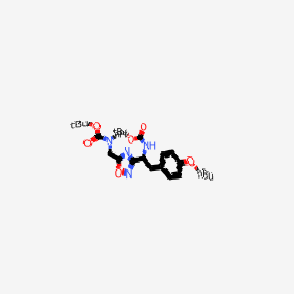 CCCCOc1ccc(CC(NC(=O)OC(C)(C)C)c2noc(CN(CCC)C(=O)OC(C)(C)C)n2)cc1